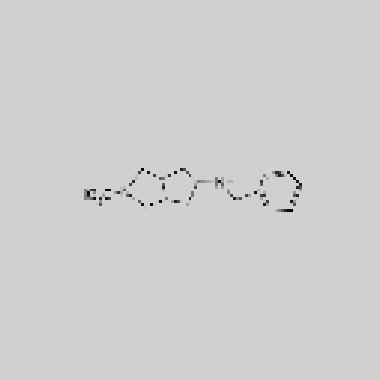 O=C(O)N1CC2CC(NCc3ccccc3)CC2C1